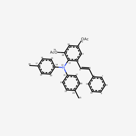 CC(=O)Oc1cc(C=Cc2ccccc2)c(N(c2ccc(C)cc2)c2ccc(C)cc2)c(OC(C)=O)c1